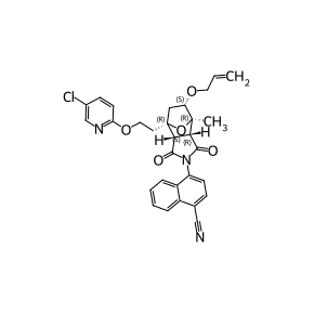 C=CCO[C@H]1C[C@@]2(CCOc3ccc(Cl)cn3)O[C@]1(C)[C@@H]1C(=O)N(c3ccc(C#N)c4ccccc34)C(=O)[C@@H]12